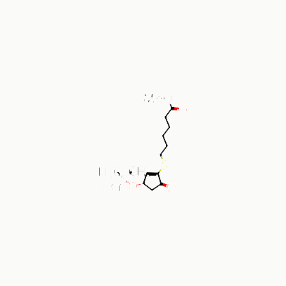 COC(=O)CCCCCSC1=C[C@H](O[Si](C)(C)C(C)(C)C)CC1=O